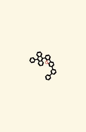 c1ccc(-c2cccc(-c3ccc4c(c3)oc3c(-c5c6ccccc6c(-c6ccccc6)c6ccccc56)cccc34)c2)cc1